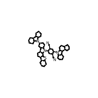 N#Cc1cc(-n2c3ccc(-n4c5ccccc5c5ccccc54)cc3c3ccc4c5ccccc5sc4c32)c(C#N)cc1-n1c2ccccc2c2c3ccccc3ccc21